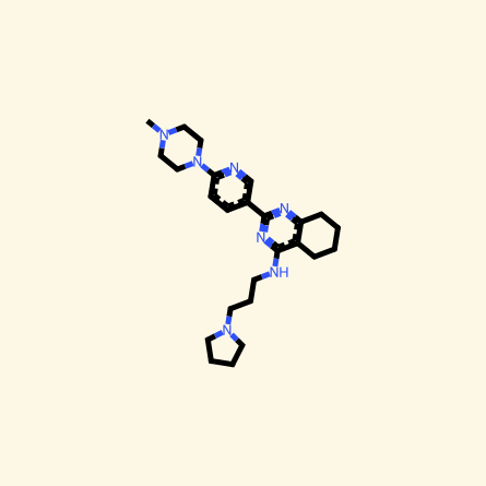 CN1CCN(c2ccc(-c3nc4c(c(NCCCN5CCCC5)n3)CCCC4)cn2)CC1